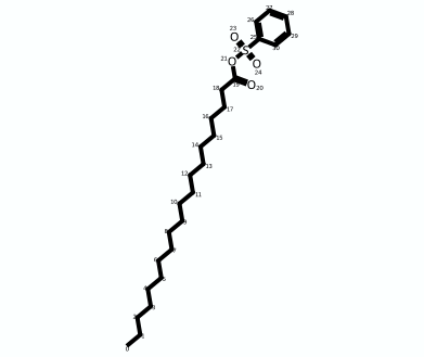 CCCCCCCCCCCCCCCCCCCC(=O)OS(=O)(=O)c1ccccc1